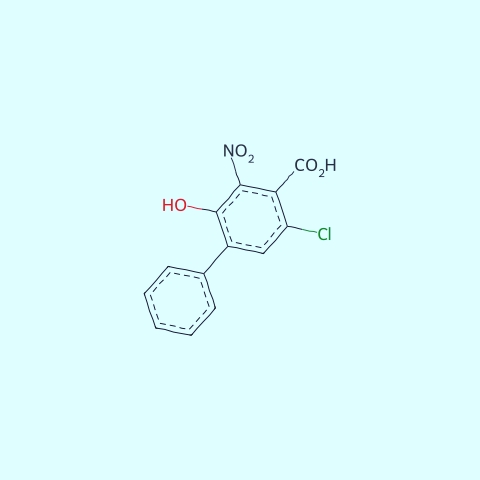 O=C(O)c1c(Cl)cc(-c2ccccc2)c(O)c1[N+](=O)[O-]